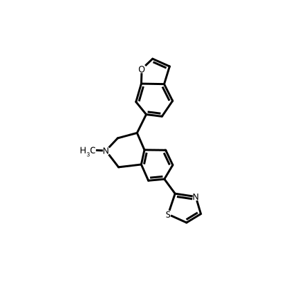 CN1Cc2cc(-c3nccs3)ccc2C(c2ccc3ccoc3c2)C1